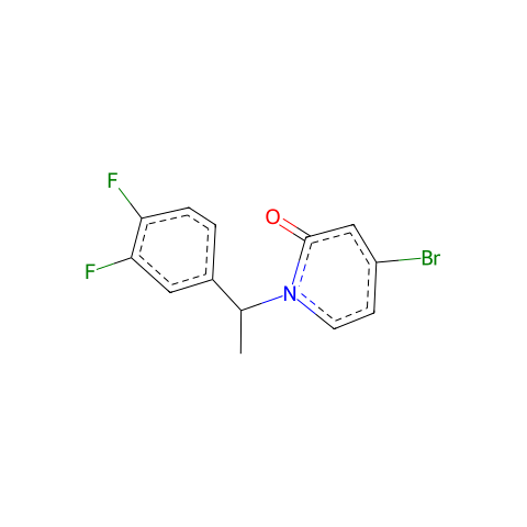 CC(c1ccc(F)c(F)c1)n1ccc(Br)cc1=O